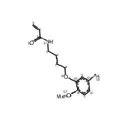 C=CC(=O)NCCCCOc1cc(C(C)=O)ccc1OC